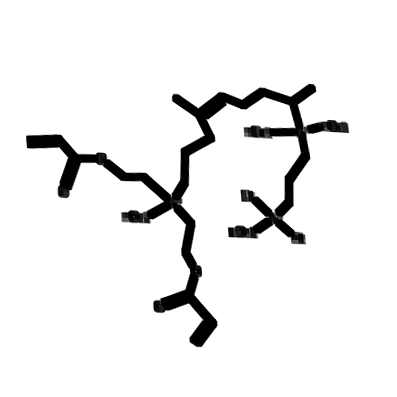 C=CC(=O)OCC[N+](CCCCCCCC)(CCC/C(C)=C\CCC(C)[N+](CCCCCCCC)(CCCCCCCC)CCC[N+](CC)(CC)CCCCCCCC)CCOC(=O)C=C